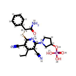 CCc1c(C#N)c(S[C@@H](C(N)=O)c2ccccc2)nc(N2CCC(OP(=O)(O)O)C2)c1C#N